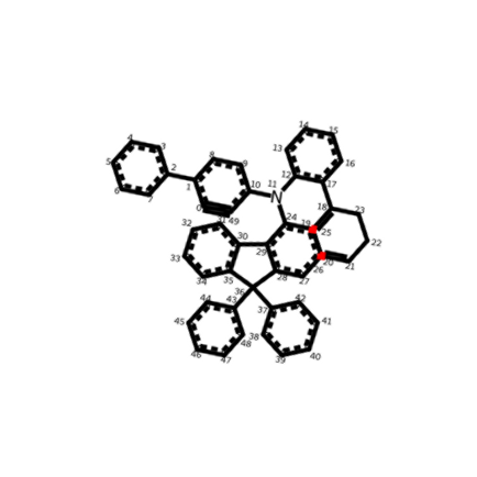 c1c(-c2ccccc2)ccc(N(c2ccccc2C2=CC=CCC2)c2cccc3c2-c2ccccc2C3(c2ccccc2)c2ccccc2)c#1